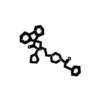 O=C(Cc1ccccc1)N1CCN(CCCCC2(C(=O)NC3CCCC3)c3ccccc3-c3ccccc32)CC1